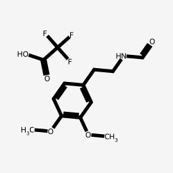 COc1ccc(CCNC=O)cc1OC.O=C(O)C(F)(F)F